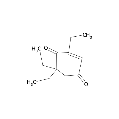 CCC1=CC(=O)CC(CC)(CC)C1=O